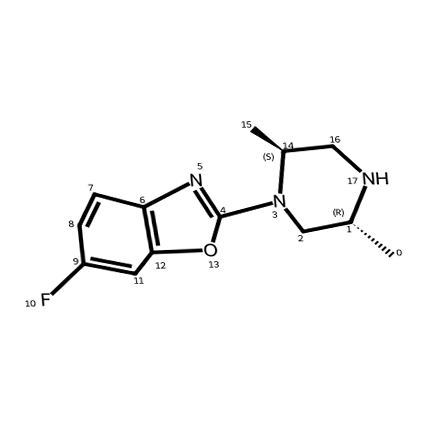 C[C@@H]1CN(c2nc3ccc(F)cc3o2)[C@@H](C)CN1